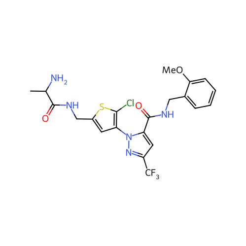 COc1ccccc1CNC(=O)c1cc(C(F)(F)F)nn1-c1cc(CNC(=O)C(C)N)sc1Cl